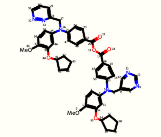 COc1ccc(N(Cc2cncnc2)c2ccc(C(=O)OC(=O)c3ccc(N(Cc4cccnn4)c4ccc(OC)c(OC5CCCC5)c4)cc3)cc2)cc1OC1CCCC1